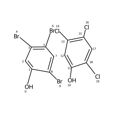 Oc1cc(Br)c(Br)cc1Br.Oc1cc(Cl)c(Cl)cc1Cl